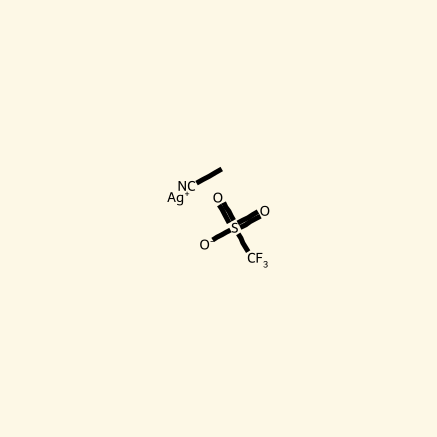 CC#N.O=S(=O)([O-])C(F)(F)F.[Ag+]